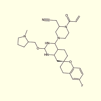 C=CC(=O)N1CCN(C2NC(OCC3CCCN3C)NC3C[C@@]4(CCc5cc(F)ccc5O4)CCC32)CC1CC#N